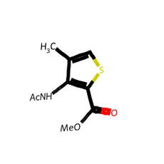 COC(=O)c1scc(C)c1NC(C)=O